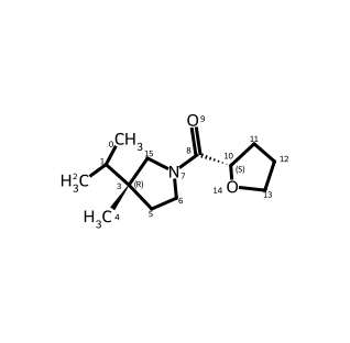 CC(C)[C@@]1(C)CCN(C(=O)[C@@H]2CCCO2)C1